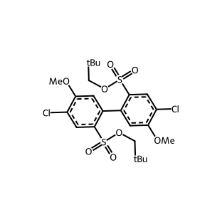 COc1cc(-c2cc(OC)c(Cl)cc2S(=O)(=O)OCC(C)(C)C)c(S(=O)(=O)OCC(C)(C)C)cc1Cl